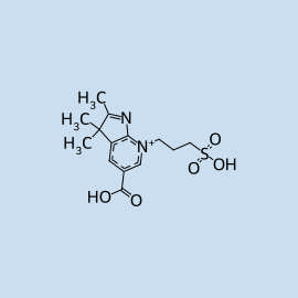 CC1=Nc2c(cc(C(=O)O)c[n+]2CCCS(=O)(=O)O)C1(C)C